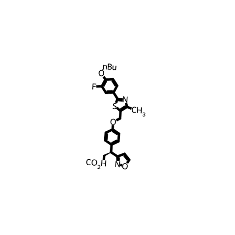 CCCCOc1ccc(-c2nc(C)c(COc3ccc([C@H](CC(=O)O)c4ccon4)cc3)s2)cc1F